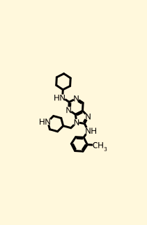 Cc1ccccc1Nc1nc2cnc(NC3CCCCC3)nc2n1CC1CCNCC1